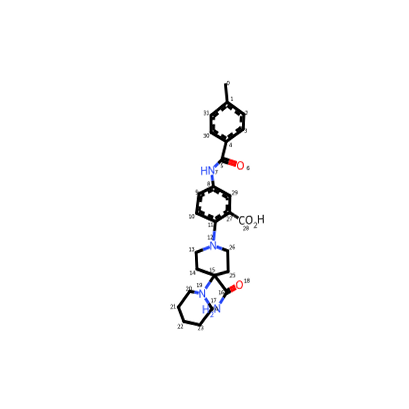 Cc1ccc(C(=O)Nc2ccc(N3CCC(C(N)=O)(N4CCCCC4)CC3)c(C(=O)O)c2)cc1